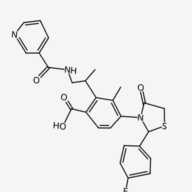 Cc1c(N2C(=O)CSC2c2ccc(F)cc2)ccc(C(=O)O)c1C(C)CNC(=O)c1cccnc1